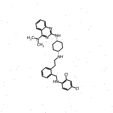 CN(C)c1nc(N[C@H]2CC[C@@H](NCCc3ccccc3CNc3ccc(Cl)cc3Cl)CC2)nc2ccccc12